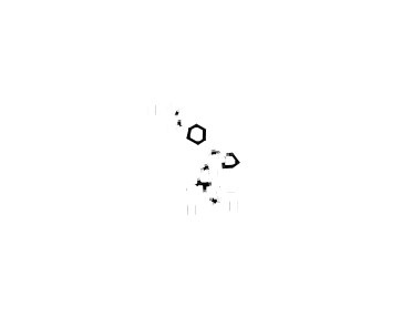 COC(=O)[C@H]1CC[C@H](OC(OC(=O)OC(C)C(=O)OC(C)(C)C)N2CCCC2)CC1